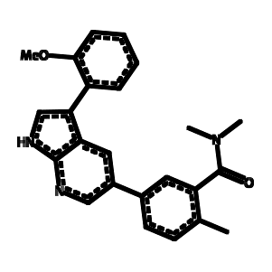 COc1ccccc1-c1c[nH]c2ncc(-c3ccc(C)c(C(=O)N(C)C)c3)cc12